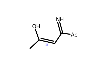 CC(=O)C(=N)/C=C(/C)O